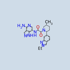 CCn1cc2ccc(C3CCC(C)CN3C(=O)C(=O)Nc3cnc(N)c4cn[nH]c34)cc2n1